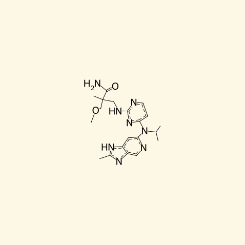 COCC(C)(CNc1nccc(N(c2cc3[nH]c(C)nc3cn2)C(C)C)n1)C(N)=O